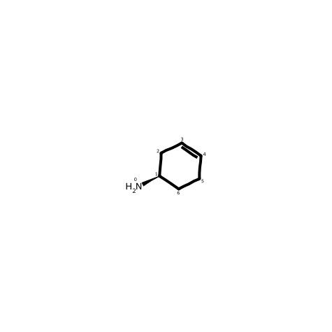 N[C@H]1CC=CCC1